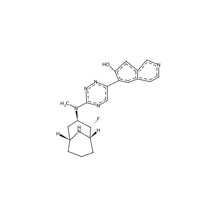 CN(c1ncc(-c2cc3ccncc3cc2O)nn1)[C@@H]1C[C@H]2CCC[C@H](N2)[C@H]1F